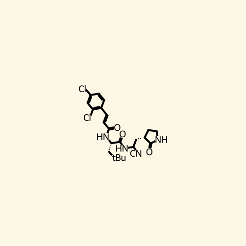 CC(C)(C)C[C@H](NC(=O)/C=C/c1ccc(Cl)cc1Cl)C(=O)NC(C#N)C[C@@H]1CCNC1=O